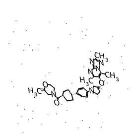 Cc1nc2nc(C)c(O[C@@H]3CCN(c4ccc([C@H]5CC[C@H](C(=O)N6CCO[C@@H](C)C6)CC5)cc4)C3)c(C)n2n1